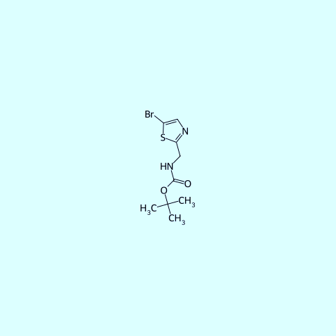 CC(C)(C)OC(=O)NCc1ncc(Br)s1